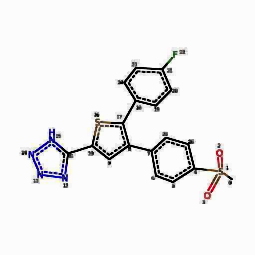 CS(=O)(=O)c1ccc(-c2cc(-c3nnn[nH]3)sc2-c2ccc(F)cc2)cc1